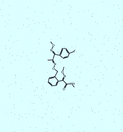 CNC(=O)/C(=N/OC)c1ccccc1CO/N=C(C)/C(=N/OC)c1ccc(F)cc1